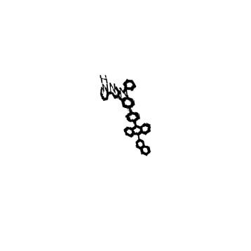 C1=CCNC(c2cc3c4cc(-c5ccc(-c6c7ccccc7c(-c7ccc8ccccc8c7)c7ccccc67)cc5)ccc4n(-c4ccccc4)c3cn2)=C1